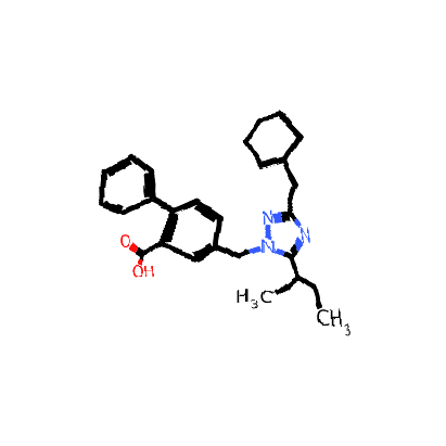 CCC(C)c1nc(CC2CCCCC2)nn1Cc1ccc(-c2ccccc2)c(C(=O)O)c1